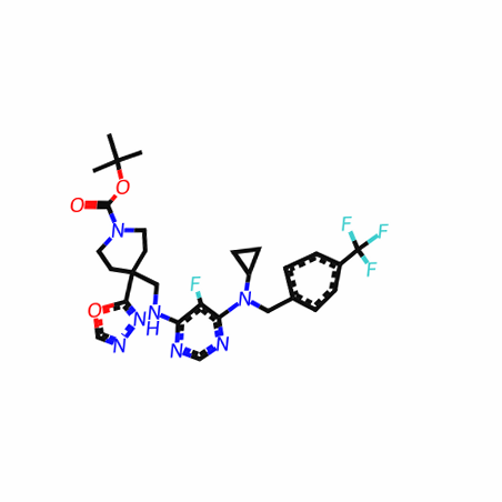 CC(C)(C)OC(=O)N1CCC(CNc2ncnc(N(Cc3ccc(C(F)(F)F)cc3)C3CC3)c2F)(c2nnco2)CC1